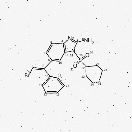 Nc1nc2ccc(/C(=C/Br)c3ccccc3)cc2n1S(=O)(=O)C1CCCCC1